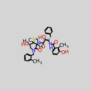 Cc1ccccc1CN1CC(O)C2(C)SCN(C(=O)[C@@H](O)[C@H](Cc3ccccc3)NC(=O)c3cccc(O)c3C)[C@@H]2C1=O